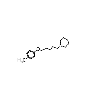 Cc1ccc(OCCCCCN2CC[CH]CC2)cc1